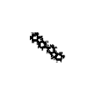 c1cc2sc3nc(-[n+]4ccc5c(c4)sc4ncncc45)ncc3c2cn1